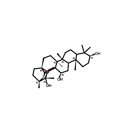 CC1(C)C2CC[C@]3(C)C(C[C@@H](O)C4=C5[C@]6(CC[C@](C)(OC6=O)[C@@]5(C)O)CC[C@]43C)[C@@]2(C)CC[C@@H]1O